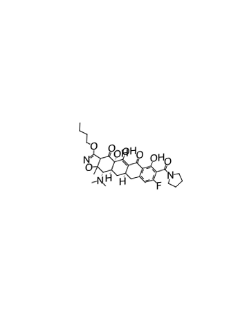 CCCCOC1=NOC2(C)C1C(=O)[C@@]1(O)C(O)=C3C(=O)c4c(cc(F)c(C(=O)N5CCCC5)c4O)C[C@H]3C[C@H]1[C@@H]2N(C)C